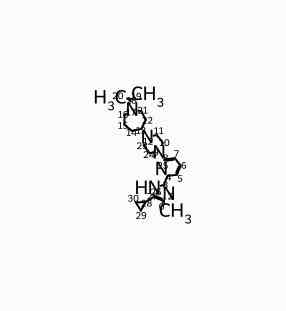 Cc1nc(-c2cccc(N3CCN(C4CCCN(C(C)C)CC4)CC3)n2)[nH]c1C1CC1